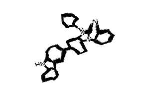 c1ccc(-n2c3cc(-c4ccc5[nH]c6ccccc6c5c4)ccc3n3c4ccccc4nc23)cc1